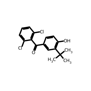 CC(C)(C)c1cc(C(=O)c2c(Cl)cccc2Cl)ccc1O